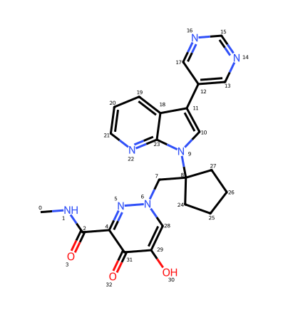 CNC(=O)c1nn(CC2(n3cc(-c4cncnc4)c4cccnc43)CCCC2)cc(O)c1=O